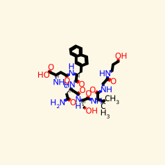 CC(C)[C@H](NC(=O)[C@H](CO)NC(=O)[C@H](CC(N)=O)NC(=O)[C@H](Cc1ccc2ccccc2c1)NC(=O)C[C@H](N)C(=O)O)C(=O)NCC(=O)NCCCO